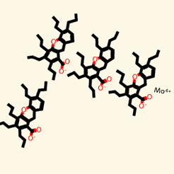 CCCc1ccc2c(c1CCC)Oc1c(CCC)c(CCC)c(CCC)c(C(=O)[O-])c1C2.CCCc1ccc2c(c1CCC)Oc1c(CCC)c(CCC)c(CCC)c(C(=O)[O-])c1C2.CCCc1ccc2c(c1CCC)Oc1c(CCC)c(CCC)c(CCC)c(C(=O)[O-])c1C2.CCCc1ccc2c(c1CCC)Oc1c(CCC)c(CCC)c(CCC)c(C(=O)[O-])c1C2.[Mo+4]